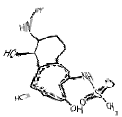 CC(C)NC1CCc2c(ccc(O)c2NS(C)(=O)=O)C1O.Cl